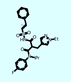 CCn1cc(CC(C(=O)NS(=O)(=O)/C=C/c2ccccc2)C(=O)N(c2ccc(F)cc2)C(C)C)cn1